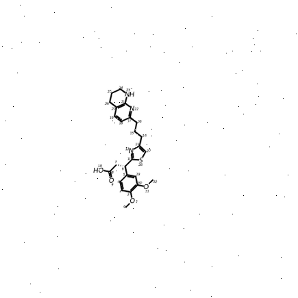 COc1ccc([C@H](CC(=O)O)c2nc(CCCc3ccc4c(n3)NCCC4)cs2)cc1OC